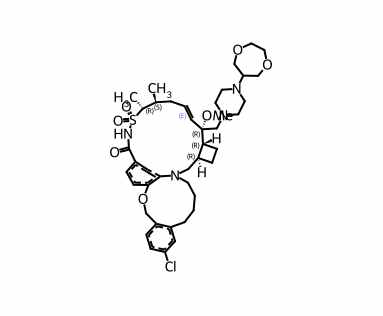 CO[C@@]1(CN2CCN(C3COCCOC3)CC2)/C=C/C[C@H](C)[C@@H](C)S(=O)(=O)NC(=O)c2ccc3c(c2)N(CCCCc2cc(Cl)ccc2CO3)C[C@@H]2CC[C@H]21